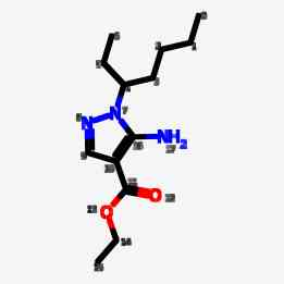 CCCCC(CC)n1ncc(C(=O)OCC)c1N